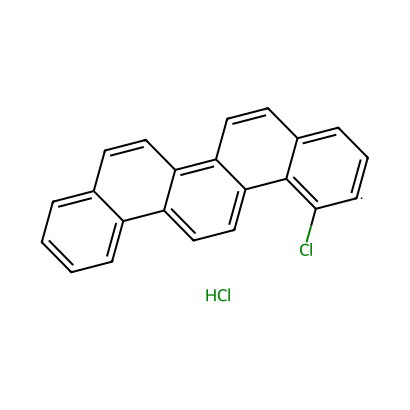 Cl.Clc1[c]ccc2ccc3c4ccc5ccccc5c4ccc3c12